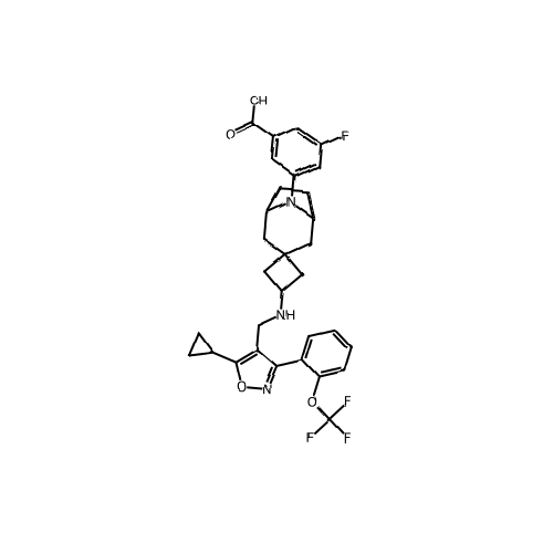 O=C(O)c1cc(F)cc(N2C3CCC2CC2(CC(NCc4c(-c5ccccc5OC(F)(F)F)noc4C4CC4)C2)C3)c1